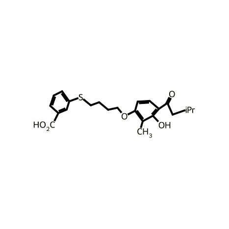 Cc1c(OCCCCSc2cccc(C(=O)O)c2)ccc(C(=O)CC(C)C)c1O